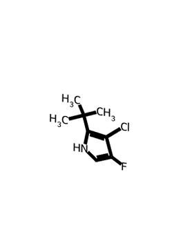 CC(C)(C)c1[nH]cc(F)c1Cl